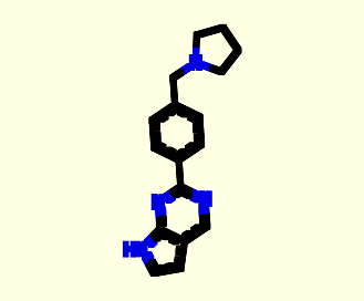 c1cc2cnc(-c3ccc(CN4CCCC4)cc3)nc2[nH]1